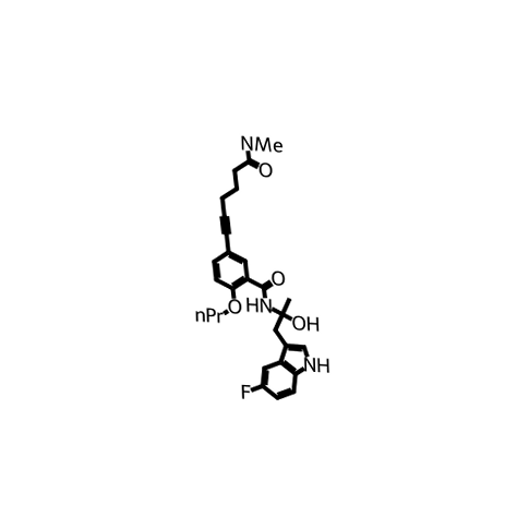 CCCOc1ccc(C#CCCCC(=O)NC)cc1C(=O)NC(C)(O)Cc1c[nH]c2ccc(F)cc12